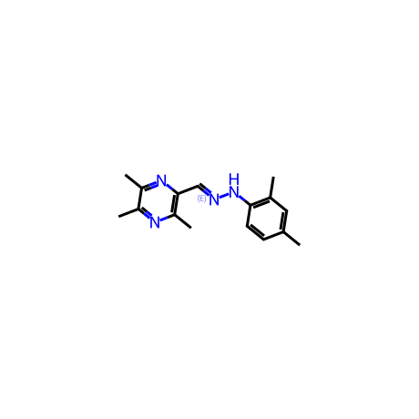 Cc1ccc(N/N=C/c2nc(C)c(C)nc2C)c(C)c1